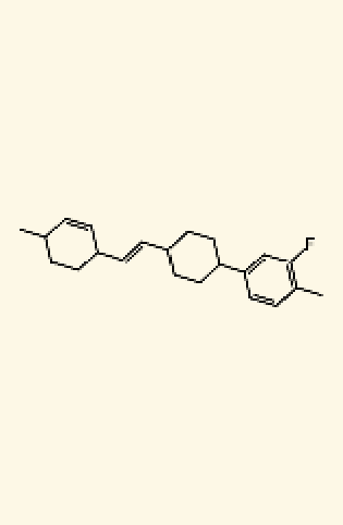 Cc1ccc(C2CCC(/C=C/C3C=CC(C)CC3)CC2)cc1F